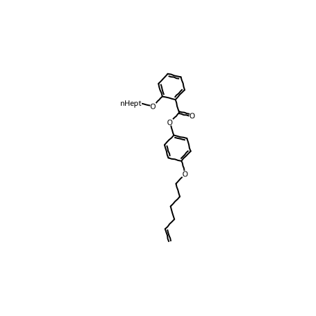 C=CCCCCOc1ccc(OC(=O)c2ccccc2OCCCCCCC)cc1